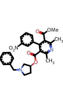 COC(=O)c1c(C)nc(C)c(C(=O)O[C@H]2CCN(Cc3ccccc3)C2)c1-c1cccc([N+](=O)[O-])c1